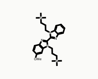 COc1ccc2nc(-c3nc4ccccc4n3CCC[Si](C)(C)C)n(CCC[Si](C)(C)C)c2c1